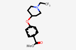 COC(=O)c1ccc(OC2CCN(CC(F)(F)F)CC2)cc1